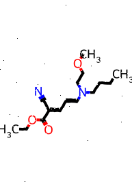 CCCCN(/C=C/C=C(\C#N)C(=O)OCC)CCOC